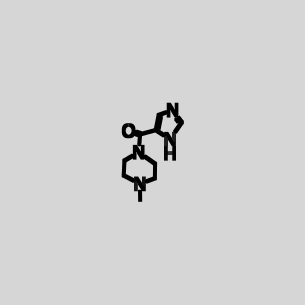 CN1CCN(C(=O)c2cnc[nH]2)CC1